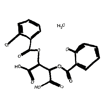 O.O=C(OC(C(=O)O)C(OC(=O)c1ccccc1Cl)C(=O)O)c1ccccc1Cl